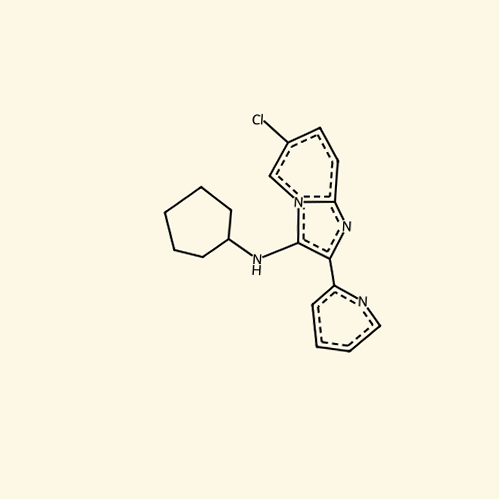 Clc1ccc2nc(-c3ccccn3)c(NC3CCCCC3)n2c1